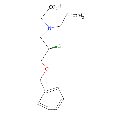 C=CCN(CC(=O)O)C[C@@H](Cl)COCc1ccccc1